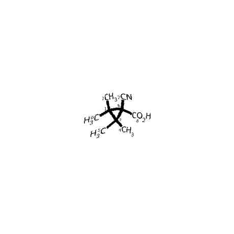 CC1(C)C(C)(C)C1(C#N)C(=O)O